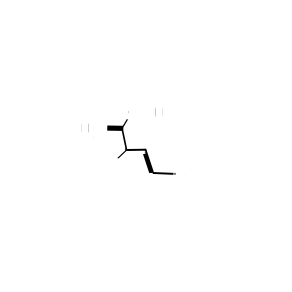 C=C(C(=O)O)C(C=CC(=O)O)CC